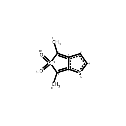 CC1=c2ccsc2=C(C)S1(=O)=O